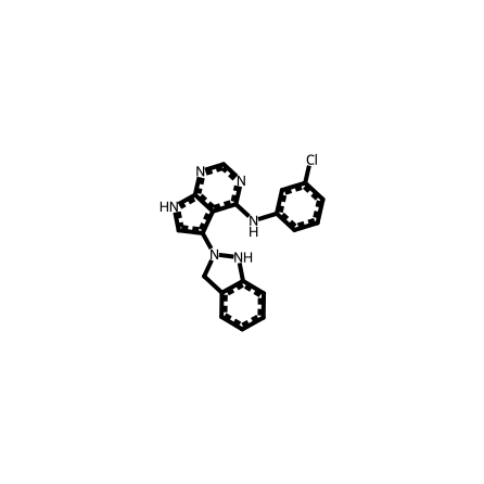 Clc1cccc(Nc2ncnc3[nH]cc(N4Cc5ccccc5N4)c23)c1